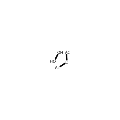 CC(=O)OC(C)=O.OO